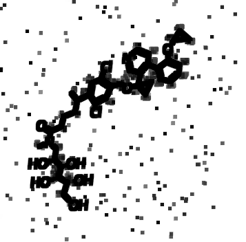 CC(CCCC(=O)N(C)C[C@H](O)[C@@H](O)[C@H](O)[C@H](O)CO)c1cc(Cl)c(COC2(c3cnccc3-c3ccccc3OC3CC3)CC2)cc1Cl